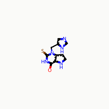 O=c1[nH]c(=S)n(Cc2cnc[nH]2)c2cc[nH]c12